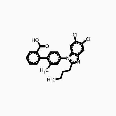 CCCCc1nc2cc(Cl)c(Cl)cc2n1-c1ccc(-c2ccccc2C(=O)O)c(C)c1